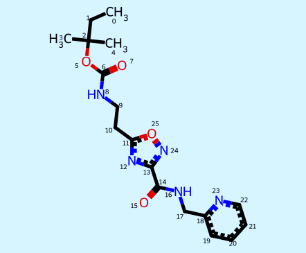 CCC(C)(C)OC(=O)NCCc1nc(C(=O)NCc2ccccn2)no1